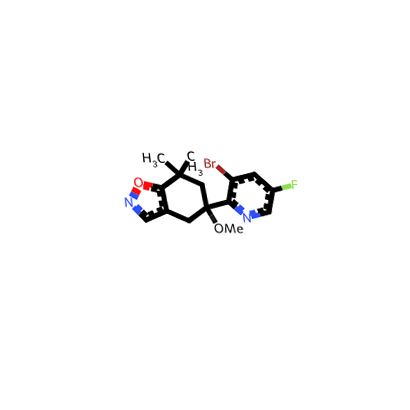 COC1(c2ncc(F)cc2Br)Cc2cnoc2C(C)(C)C1